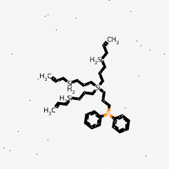 C=CC[SiH2]CCC[Si](CCC[SiH2]CC=C)(CCC[SiH2]CC=C)CCCP(c1ccccc1)c1ccccc1